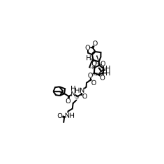 CC(=O)NCCCC[C@H](NC(=O)C12CC3CC(CC1C3)C2)C(=O)NCCC(=O)O[C@@H]1[C@@]2(C(C)C)O[C@H]2[C@@H]2O[C@@]23[C@@]2(C)CCC4=C(COC4=O)[C@@H]2C2C[C@@]13O2